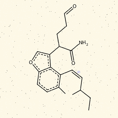 CCC(C)/C=C\c1c(C)ccc2occ(C(CCC=O)C(N)=O)c12